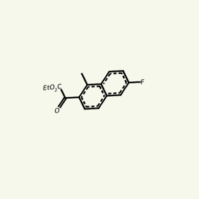 CCOC(=O)C(=O)c1ccc2cc(F)ccc2c1C